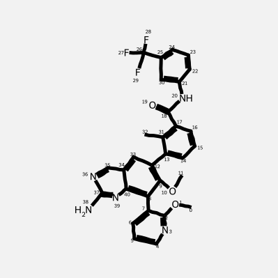 COc1ncccc1-c1c(OC)c(-c2cccc(C(=O)Nc3cccc(C(F)(F)F)c3)c2C)cc2cnc(N)nc12